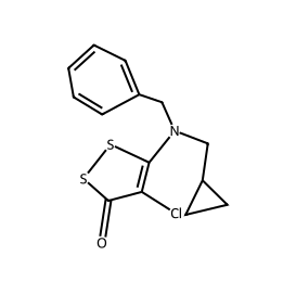 O=c1ssc(N(Cc2ccccc2)CC2CC2)c1Cl